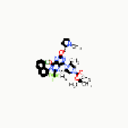 C[C@H]1CN(C(=O)OC(C)(C)C)C[C@H](C)N1c1nc(OC[C@@H]2CCCN2C)nc2c(=O)n(-c3cccc4cccc(Cl)c34)c(C(F)(F)F)nc12